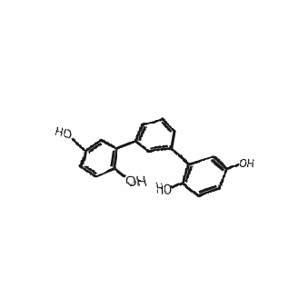 Oc1ccc(O)c(-c2cccc(-c3cc(O)ccc3O)c2)c1